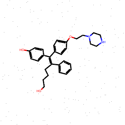 OCCCC/C(=C(\c1ccc(O)cc1)c1ccc(OCCN2CCNCC2)cc1)c1ccccc1